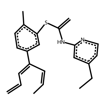 C=C/C=C(\C=C/C)c1ccc(C)c(SC(=C)Nc2cc(CC)ccn2)c1